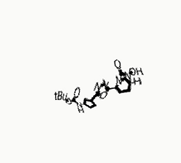 CC(C)(C)OC(=O)N[C@H]1CCC(c2nnc([C@@H]3CC[C@H]4CN3C(=O)N4O)o2)C1